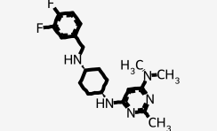 Cc1nc(N[C@H]2CC[C@@H](NCc3ccc(F)c(F)c3)CC2)cc(N(C)C)n1